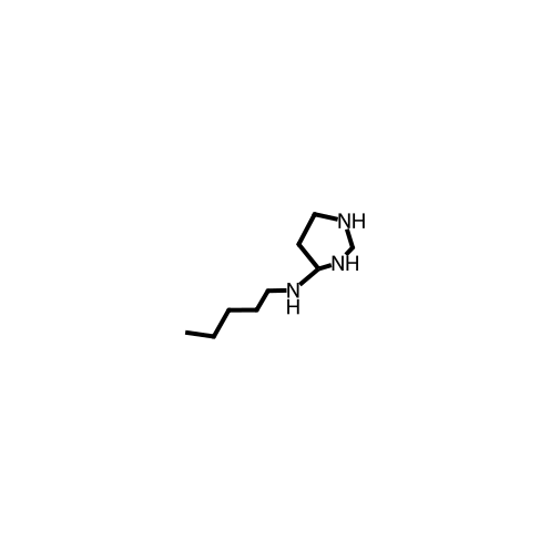 CCCCCNC1CCNCN1